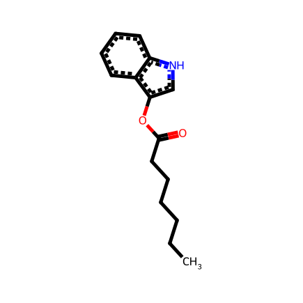 CCCCCCC(=O)Oc1c[nH]c2ccccc12